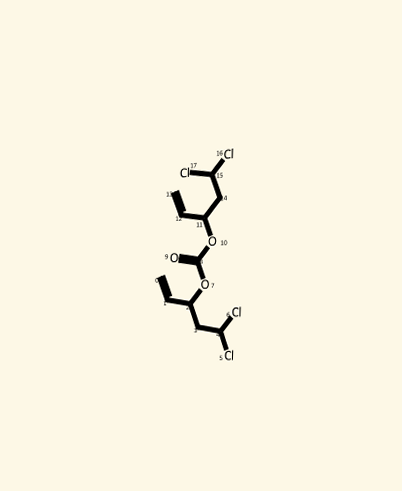 C=CC(CC(Cl)Cl)OC(=O)OC(C=C)CC(Cl)Cl